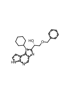 O[C@H](COCc1ccccc1)c1nc2cnc3[nH]ccc3c2n1C1CCCCC1